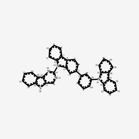 c1cc(-c2ccc3c4ccccc4n(-c4ncc5sc6ccccc6c5n4)c3c2)cc(-n2c3ccccc3c3ccccc32)c1